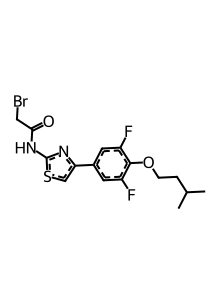 CC(C)CCOc1c(F)cc(-c2csc(NC(=O)CBr)n2)cc1F